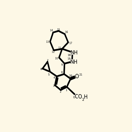 O=C(O)C1=CC=C(C2CC2)C(C2CC3(CCCCCC3)NN2)C1=O